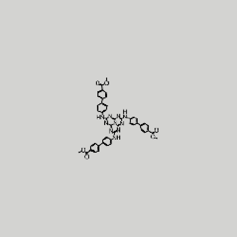 COC(=O)c1ccc(-c2ccc(NC3=NC4=NC(Nc5ccc(-c6ccc(C(=O)OC)cc6)cc5)=NC5=NC(Nc6ccc(-c7ccc(C(=O)OC)cc7)cc6)=NC(=N3)N45)cc2)cc1